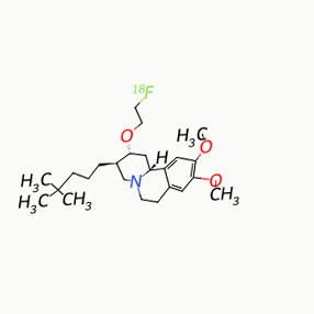 COc1cc2c(cc1OC)[C@H]1C[C@@H](OCC[18F])[C@H](CCCC(C)(C)C)CN1CC2